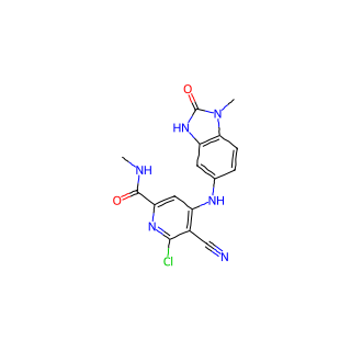 CNC(=O)c1cc(Nc2ccc3c(c2)[nH]c(=O)n3C)c(C#N)c(Cl)n1